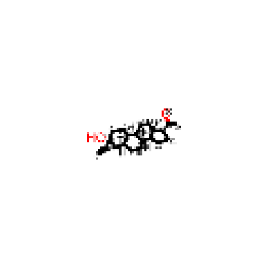 C#C[C@@]1(O)CC[C@@]2(C)[C@@H](CC[C@@H]3[C@@H]2CC[C@]2(C)[C@@H](C(C)=O)CC[C@@H]32)C1